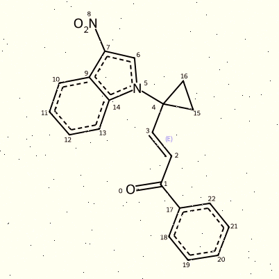 O=C(/C=C/C1(n2cc([N+](=O)[O-])c3ccccc32)CC1)c1ccccc1